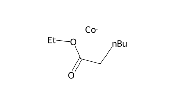 CCCCCC(=O)OCC.[Co]